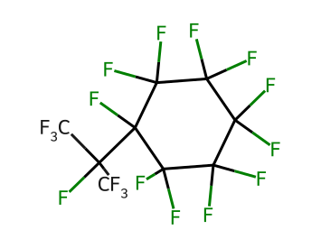 FC(F)(F)C(F)(C(F)(F)F)C1(F)C(F)(F)C(F)(F)C(F)(F)C(F)(F)C1(F)F